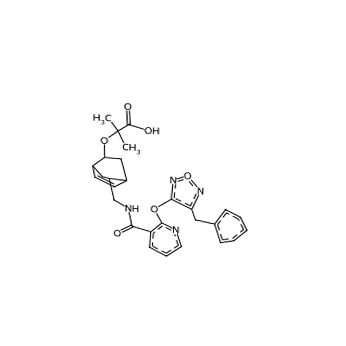 CC(C)(OC1CC2C=CC1CC2CNC(=O)c1cccnc1Oc1nonc1Cc1ccccc1)C(=O)O